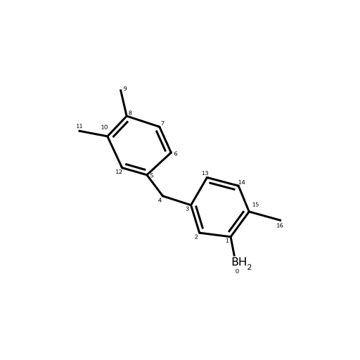 Bc1cc(Cc2ccc(C)c(C)c2)ccc1C